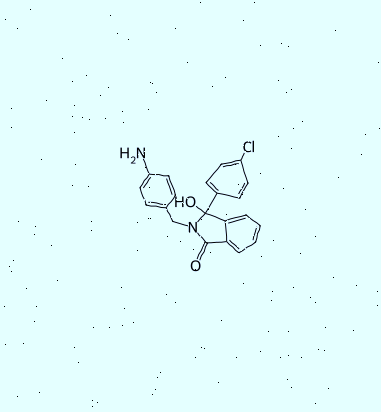 Nc1ccc(CN2C(=O)c3ccccc3C2(O)c2ccc(Cl)cc2)cc1